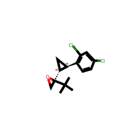 CC(C)(C)C1([C@@H]2C[C@H]2c2ccc(Cl)cc2Cl)CO1